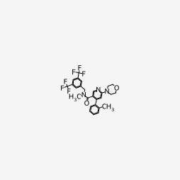 Cc1ccccc1-c1cc(N2CCOCC2)ncc1C(=O)N(C)Cc1cc(C(F)(F)F)cc(C(F)(F)F)c1